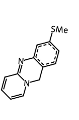 CSc1ccc2c(c1)N=C1C=CC=CN1C2